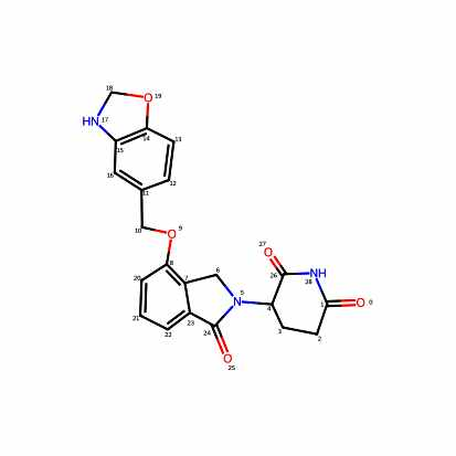 O=C1CCC(N2Cc3c(OCc4ccc5c(c4)NCO5)cccc3C2=O)C(=O)N1